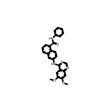 COc1cc2ncnc(Nc3ccc4c(C(=O)Nc5ccccc5)cccc4c3)c2cc1OC